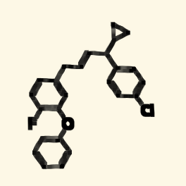 Fc1ccc(CC=CC(c2ccc(Cl)cc2)C2CC2)cc1Oc1ccccc1